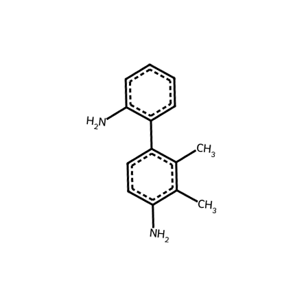 Cc1c(N)ccc(-c2ccccc2N)c1C